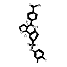 Cc1cc(NS(=O)(=O)c2ccc3c(c2)[C@H]2OCC[C@H]2C(c2ccc(C(=O)C(C)C)cc2)N3)ccc1Cl